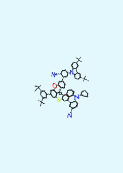 CC(C)(C)c1cc(-c2cc3c4c(c2)Sc2cc(-c5cc(C#N)ccc5N(c5ccccc5)c5ccccc5)ccc2B4c2ccc(-c4cc(-n5c6ccc(C(C)(C)C)cc6c6cc(C(C)(C)C)ccc65)ccc4C#N)cc2O3)cc(C(C)(C)C)c1